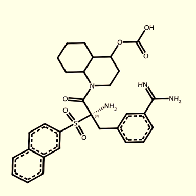 N=C(N)c1cccc(C[C@](N)(C(=O)N2CCC(OC(=O)O)C3CCCCC32)S(=O)(=O)c2ccc3ccccc3c2)c1